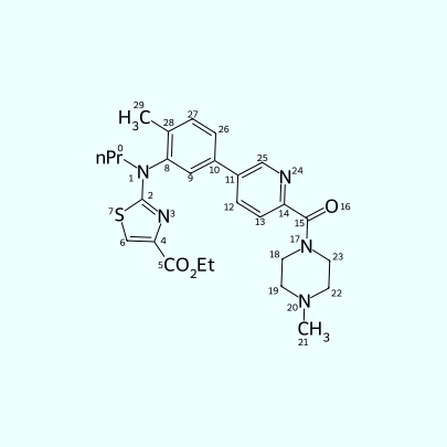 CCCN(c1nc(C(=O)OCC)cs1)c1cc(-c2ccc(C(=O)N3CCN(C)CC3)nc2)ccc1C